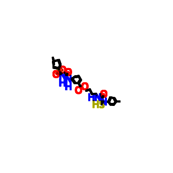 Cc1ccc(N(S)C(=O)NCCCCOC(=O)c2cccc(NC(=O)NS(=O)(=O)c3ccc(C)cc3)c2)cc1